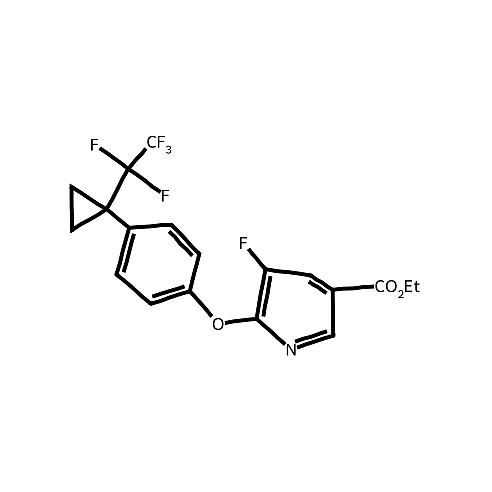 CCOC(=O)c1cnc(Oc2ccc(C3(C(F)(F)C(F)(F)F)CC3)cc2)c(F)c1